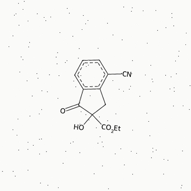 CCOC(=O)C1(O)Cc2c(C#N)cccc2C1=O